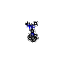 c1ccc(-c2cc(-c3ccccn3)nc(-c3ccc(-n4c5ccc6cccc7c6c5c5c6c(ccc8cccc-7c86)ccc54)cc3)n2)cc1